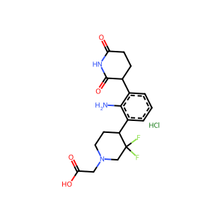 Cl.Nc1c(C2CCC(=O)NC2=O)cccc1C1CCN(CC(=O)O)CC1(F)F